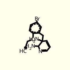 C#CCOc1ccc(Br)cc1CC1(N)C=CC=NC1N